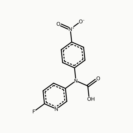 O=C(O)N(c1ccc([N+](=O)[O-])cc1)c1ccc(F)nc1